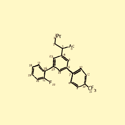 CC(=O)C(CC(C)C)c1cc(-c2ccc(C(F)(F)F)cc2)cc(-c2ccccc2F)c1